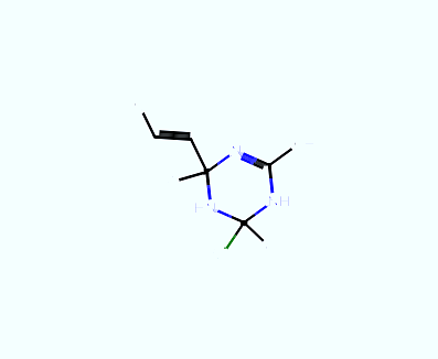 C/C=C/C1(C)N=C(C)NC(C)(Cl)N1